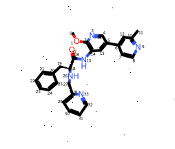 COc1ncc(-c2ccnc(C)c2)cc1NC(=O)[C@H](Cc1ccccc1)NCc1ccccn1